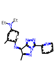 CCN(CC)c1ccc(N=C2C(C)=Nn3c2nnc3-c2ccccn2)c(C)c1